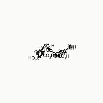 O=C(O)CN1CCN(CC(=O)O)CCN(CC(=O)N[C@H](CCCNS(=O)(=O)c2ccc(-c3ccc(S(=O)(=O)N[C@@H](CNC(=O)c4ccc5c(cnn5CCCNc5ncc[nH]5)c4)C(=O)O)cc3)cc2)CS(=O)(=O)O)CCN(CC(=O)O)CC1